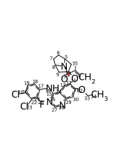 C=CC(=O)N1C2CCC1CC(Oc1cc3c(Nc4ccc(Cl)c(Cl)c4F)ncnc3cc1OCC)C2